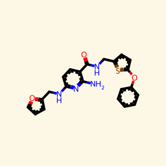 Nc1nc(NCc2ccco2)ccc1C(=O)NCc1ccc(Oc2ccccc2)s1